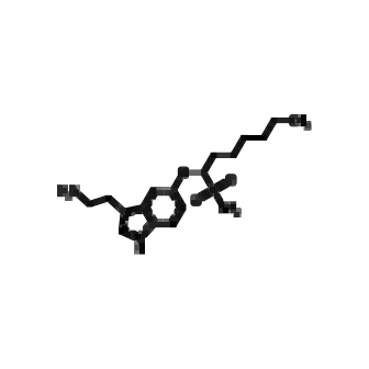 CCCCCCC(Oc1ccc2[nH]cc(CCN)c2c1)S(N)(=O)=O